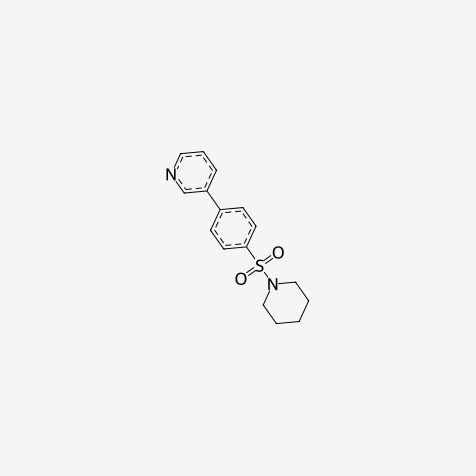 O=S(=O)(c1ccc(-c2cccnc2)cc1)N1CCCCC1